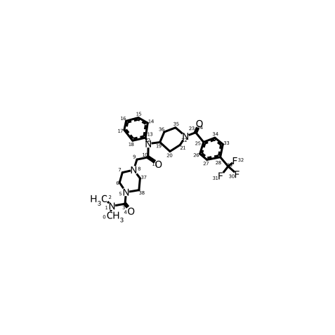 CN(C)C(=O)N1CCN(CC(=O)N(c2ccccc2)C2CCN(C(=O)c3ccc(C(F)(F)F)cc3)CC2)CC1